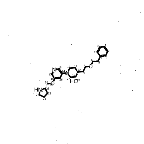 Cl.c1ccc(CCOCCC2CCN(c3cncc(OC[C@@H]4CCCN4)c3)CC2)cc1